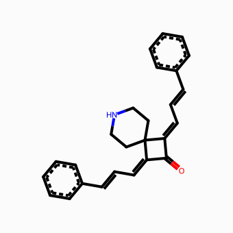 O=C1/C(=C/C=C/c2ccccc2)C2(CCNCC2)/C1=C\C=C\c1ccccc1